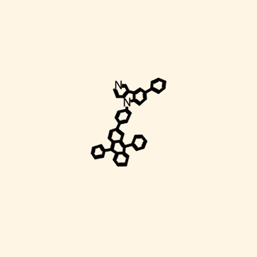 c1ccc(-c2ccc3c(c2)c2cnccc2n3-c2ccc(-c3ccc4c(-c5ccccc5)c5ccccc5c(-c5ccccc5)c4c3)cc2)cc1